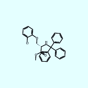 COC(=O)[C@H](COc1ccccc1Cl)NC(c1ccccc1)(c1ccccc1)c1ccccc1